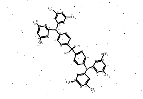 N#CC(C#N)(c1ccc(N(c2cc(C(F)(F)F)cc(C(F)(F)F)c2)c2cc(C(F)(F)F)cc(C(F)(F)F)c2)cc1)c1ccc(N(c2cc(C(F)(F)F)cc(C(F)(F)F)c2)c2cc(C(F)(F)F)cc(C(F)(F)F)c2)cc1